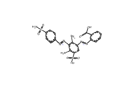 Nc1c(/N=N/c2ccccc2C(=O)O)cc(S(=O)(=O)O)c(N)c1/N=N/c1ccc(S(N)(=O)=O)cc1